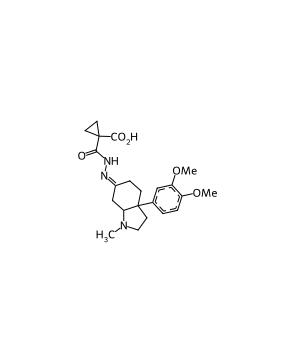 COc1ccc(C23CC/C(=N\NC(=O)C4(C(=O)O)CC4)CC2N(C)CC3)cc1OC